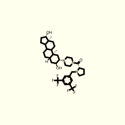 C[C@]12CCC3C(CC[C@H]4C[C@H](O)[C@@H](N5CCN(C(=O)[C@@H]6CCCN6Cc6cc(C(F)(F)F)cc(C(F)(F)F)c6)CC5)C[C@]34C)C1CC[C@@H]2O